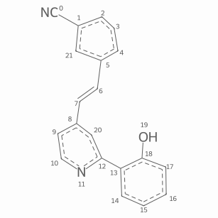 N#Cc1cccc(C=Cc2ccnc(-c3ccccc3O)c2)c1